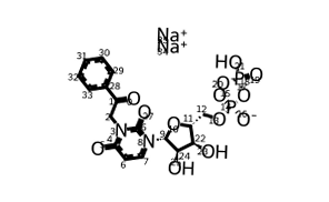 O=C(Cn1c(=O)ccn([C@@H]2O[C@H](COP(=O)([O-])OP(=O)([O-])O)[C@@H](O)[C@H]2O)c1=O)c1ccccc1.[Na+].[Na+]